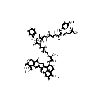 CC[C@@]1(O)C(=O)OCc2c1cc1n(c2=O)Cc2c-1nc1cc(F)c(C)c3c1c2[C@@H](NC(=O)[C@@H](C)OCNC(=O)CNC(=O)[C@H](Cc1ccccc1)NC(=O)CNC(=O)CNC(=O)[C@@H](CNCC(=O)O)NC(=O)/C=C\C(=O)O)CC3